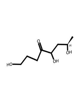 C[C@@H](O)CC(O)C(=O)CCCO